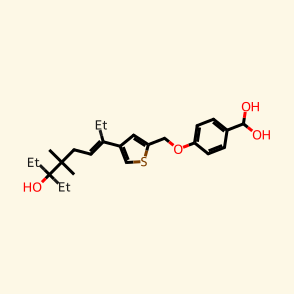 CCC(=CCC(C)(C)C(O)(CC)CC)c1csc(COc2ccc(C(O)O)cc2)c1